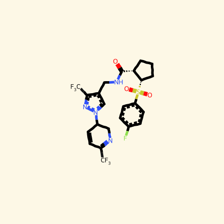 O=C(NCc1cn(C2C=CC(C(F)(F)F)=NC2)nc1C(F)(F)F)[C@@H]1CCC[C@@H]1S(=O)(=O)c1ccc(F)cc1